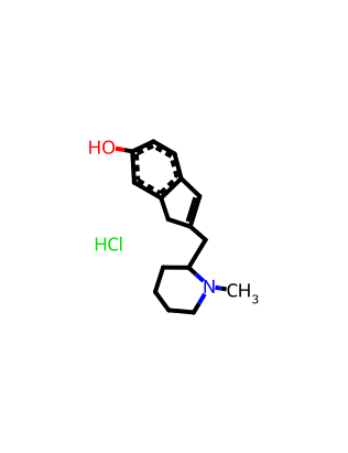 CN1CCCCC1CC1=Cc2ccc(O)cc2C1.Cl